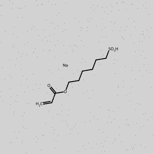 C=CC(=O)OCCCCCCS(=O)(=O)O.[Na]